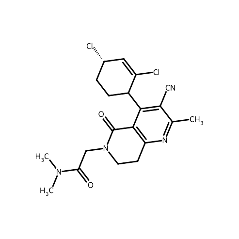 Cc1nc2c(c(C3CC[C@H](Cl)C=C3Cl)c1C#N)C(=O)N(CC(=O)N(C)C)CC2